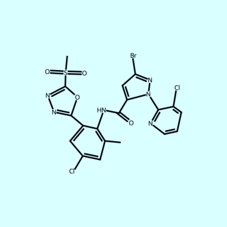 Cc1cc(Cl)cc(-c2nnc(S(C)(=O)=O)o2)c1NC(=O)c1cc(Br)nn1-c1ncccc1Cl